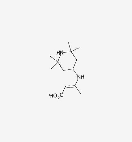 CC(=CC(=O)O)NC1CC(C)(C)NC(C)(C)C1